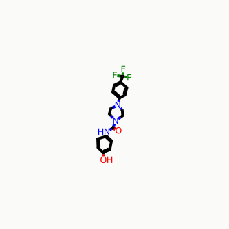 O=C(Nc1ccc(O)cc1)N1CCN(c2ccc(C(F)(F)F)cc2)CC1